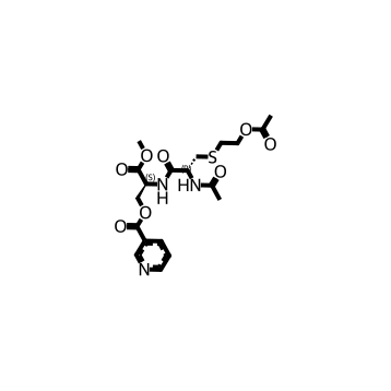 COC(=O)[C@H](COC(=O)c1cccnc1)NC(=O)[C@H](CSCCOC(C)=O)NC(C)=O